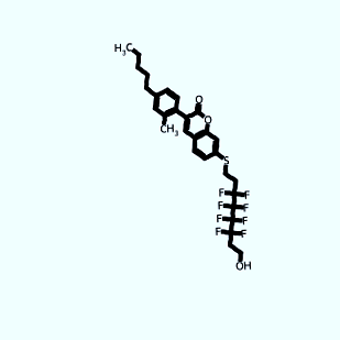 CCCCCc1ccc(-c2cc3ccc(SCCC(F)(F)C(F)(F)C(F)(F)C(F)(F)CCO)cc3oc2=O)c(C)c1